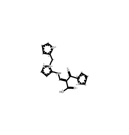 O=C(O)/C(=C/Nc1ccnn1Cc1ccco1)C(=O)c1cccs1